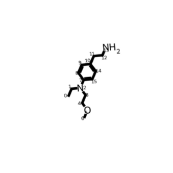 CCN(CCOC)c1ccc(CCN)cc1